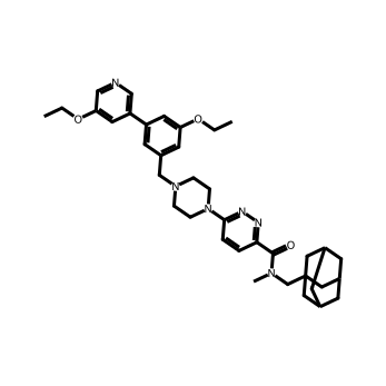 CCOc1cncc(-c2cc(CN3CCN(c4ccc(C(=O)N(C)CC56CC7CC(CC(C7)C5)C6)nn4)CC3)cc(OCC)c2)c1